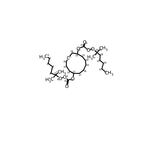 CCCCCC(C)(C)OOC(=O)OC1CCCCCC(OC(=O)OOC(C)(C)CCCCC)CCCCC1